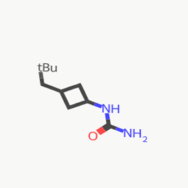 CC(C)(C)CC1CC(NC(N)=O)C1